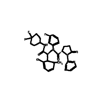 CC1C=CC=C(Cl)C1[C@@H](C(=O)NC1CCC(F)(F)CC1)N(C(=O)[C@@H]1CCC(=O)N1c1cnccn1)c1cccc(F)c1